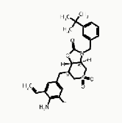 C=Cc1cc(C[C@@H]2CS(=O)(=O)C[C@H]3[C@H]2OC(=O)N3Cc2cccc(C(C)(C)C)c2)cc(F)c1N